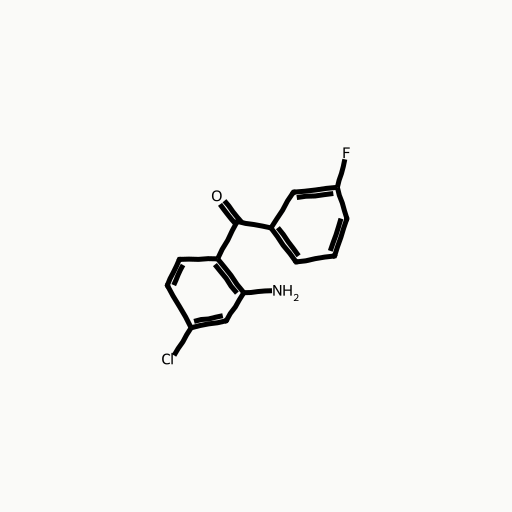 Nc1cc(Cl)ccc1C(=O)c1cccc(F)c1